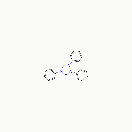 c1ccc(N2CN(c3ccccc3)N(c3ccccc3)C2)cc1